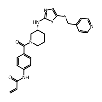 C=CC(=O)Nc1ccc(C(=O)N2CCC[C@@H](Nc3ncc(SCc4ccncc4)s3)C2)cc1